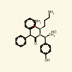 C[C@@H](c1ccc(O)cc1)N(C(=O)C(c1ccccc1)c1ccccc1)[C@H](CCCN)C(N)=O.Cl